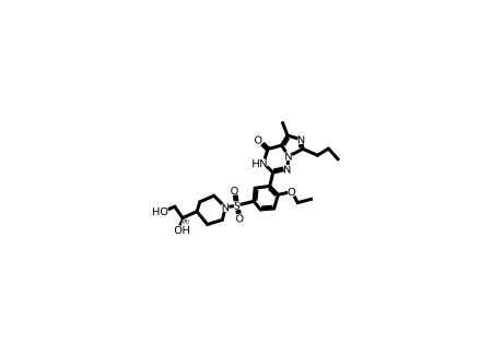 CCCc1nc(C)c2c(=O)[nH]c(-c3cc(S(=O)(=O)N4CCC([C@@H](O)CO)CC4)ccc3OCC)nn12